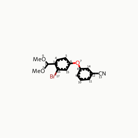 COC(OC)c1ccc(Oc2cccc(C#N)c2)cc1Br